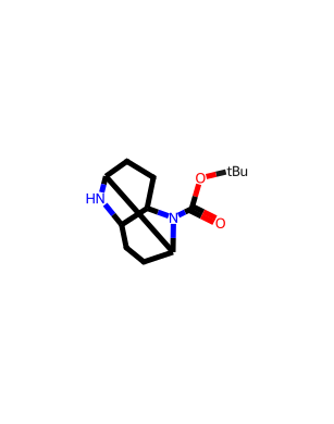 CC(C)(C)OC(=O)N1C2CCC3NC2CCC31